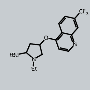 CCN1CC(Oc2ccnc3cc(C(F)(F)F)ccc23)CC1C(C)(C)C